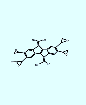 CC1OC1c1cc2c(cc1C1CO1)C(=C(C#N)C#N)C1=C2C(=C(C#N)C#N)c2cc(C3CO3)c(C3CO3)cc21